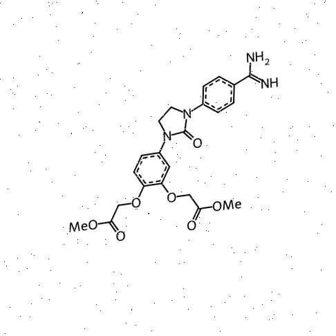 COC(=O)COc1ccc(N2CCN(c3ccc(C(=N)N)cc3)C2=O)cc1OCC(=O)OC